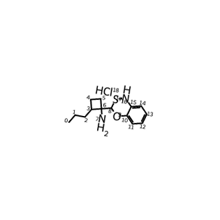 CCCC1CCC1(N)C1Oc2ccccc2NS1.Cl